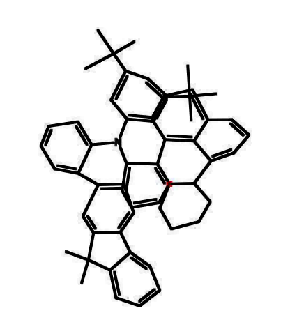 CC(C)(C)c1cc(N(c2ccccc2-c2ccc3c(c2)C(C)(C)c2ccccc2-3)c2ccccc2-c2cccc3cccc(C4CCCCC4)c23)cc(C(C)(C)C)c1